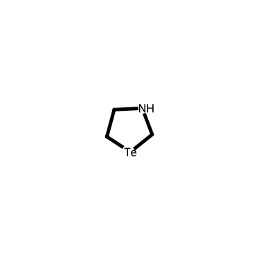 C1C[Te]CN1